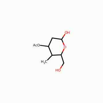 CC(=O)OC1CC(O)OC(CO)C1C